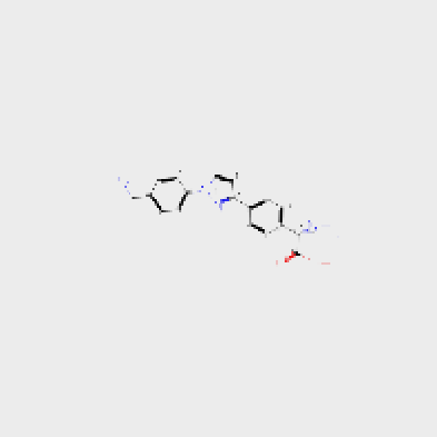 NCc1ccc(-n2ccc(-c3ccc(C(N)C(=O)O)cc3)n2)cc1